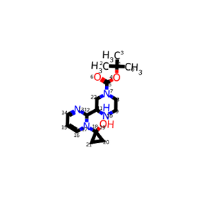 CC(C)(C)OC(=O)N1CCNC(C2N=CC=CN2C2(O)CC2)C1